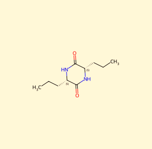 CCC[C@@H]1NC(=O)[C@H](CCC)NC1=O